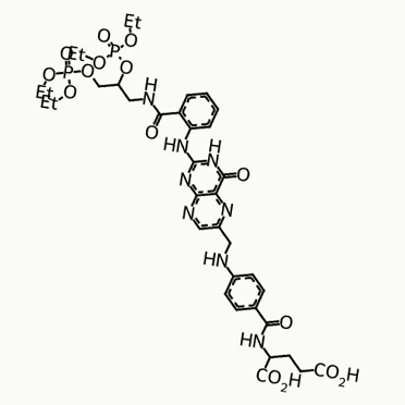 CCOP(=O)(OCC)OCC(CNC(=O)c1ccccc1Nc1nc2ncc(CNc3ccc(C(=O)NC(CCC(=O)O)C(=O)O)cc3)nc2c(=O)[nH]1)OP(=O)(OCC)OCC